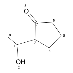 CC(O)C1CCCC1=O